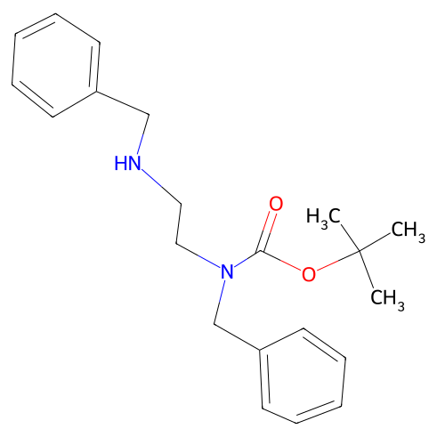 CC(C)(C)OC(=O)N(CCNCc1ccccc1)Cc1ccccc1